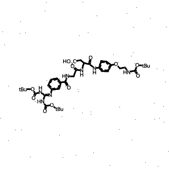 CC(C)(C)OC(=O)NCCOc1ccc(NC(=O)C(CC(=O)O)NC(=O)CNC(=O)c2cccc(N=C(NC(=O)OC(C)(C)C)NC(=O)OC(C)(C)C)c2)cc1